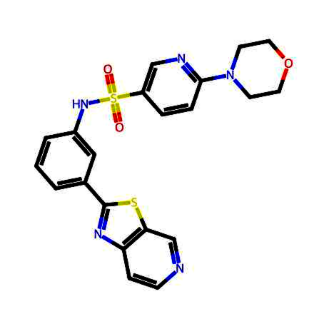 O=S(=O)(Nc1cccc(-c2nc3ccncc3s2)c1)c1ccc(N2CCOCC2)nc1